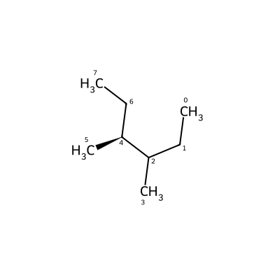 CCC(C)[C@@H](C)CC